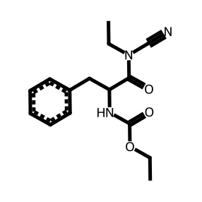 CCOC(=O)NC(Cc1ccccc1)C(=O)N(C#N)CC